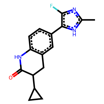 Cc1nc(F)c(-c2ccc3c(c2)CC(C2CC2)C(=O)N3)[nH]1